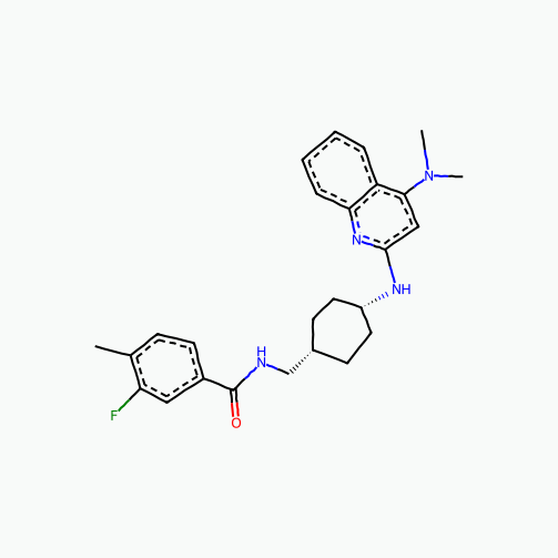 Cc1ccc(C(=O)NC[C@H]2CC[C@@H](Nc3cc(N(C)C)c4ccccc4n3)CC2)cc1F